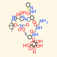 COCCN(CCOC12CC3(C)CC(C)(CC(Cn4ncc(-c5ccc(N6CCc7c(OC)ccc(C(=O)Nc8nc9ccccc9s8)c7C6)nc5C(=O)O)c4C)(C3)C1)C2)C(=O)OC/C=C/c1ccc(O[C@@H]2O[C@H](C(=O)O)[C@@H](O)[C@H](O)[C@H]2O)c(NC(=O)CCNC(=O)CCN)c1